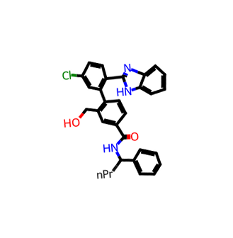 CCCC(NC(=O)c1ccc(-c2cc(Cl)ccc2-c2nc3ccccc3[nH]2)c(CO)c1)c1ccccc1